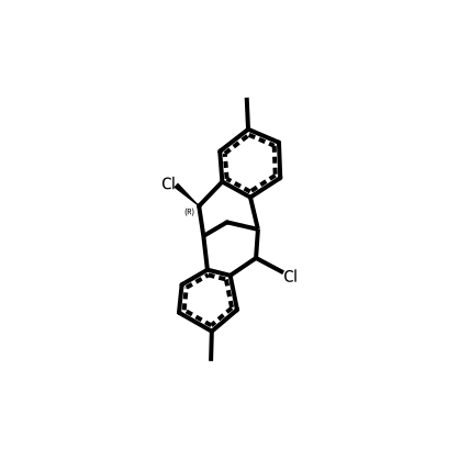 Cc1ccc2c(c1)C(Cl)C1CC2[C@@H](Cl)c2cc(C)ccc21